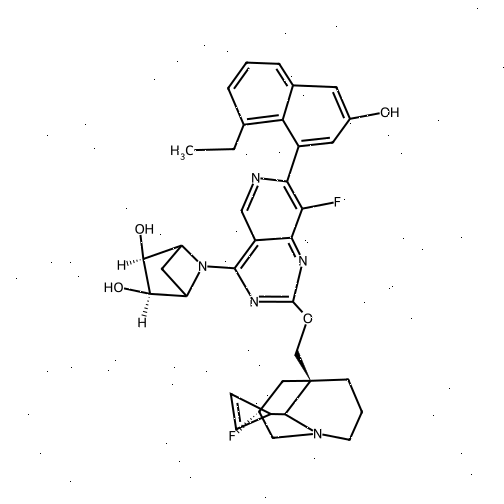 CCc1cccc2cc(O)cc(-c3ncc4c(N5C6CC5[C@H](O)[C@@H]6O)nc(OC[C@]56CCCN(C[C@H](F)C5)C6C5C=C5)nc4c3F)c12